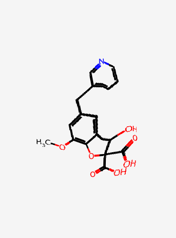 COc1cc(Cc2cccnc2)cc2c1OC(C(=O)O)(C(=O)O)C2O